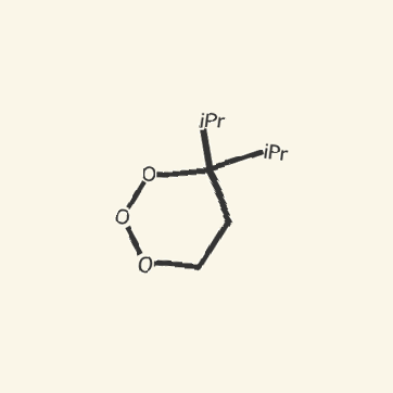 CC(C)C1(C(C)C)CCOOO1